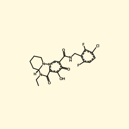 CCN1C(=O)c2c(O)c(=O)c(C(=O)NCc3c(F)ccc(Cl)c3F)cn2N2CCCC[C@@H]12